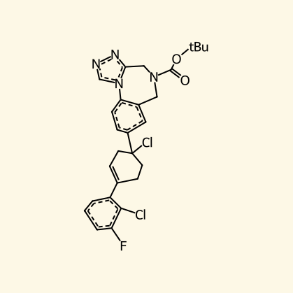 CC(C)(C)OC(=O)N1Cc2cc(C3(Cl)CC=C(c4cccc(F)c4Cl)CC3)ccc2-n2cnnc2C1